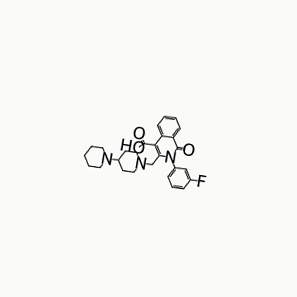 O=C(O)c1c(CN2CCC(N3CCCCC3)CC2)n(-c2cccc(F)c2)c(=O)c2ccccc12